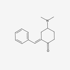 CN(C)C1CCC(=O)C(=Cc2ccccc2)C1